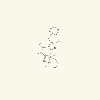 CCc1nc2c(n1Cc1ccccc1)C(=O)N(C)C1=N[C@@H]3CCCC[C@@H]3N12